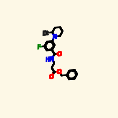 CCC1CCCCN1c1cc(F)cc(C(=O)NCCC(=O)OCc2ccccc2)c1